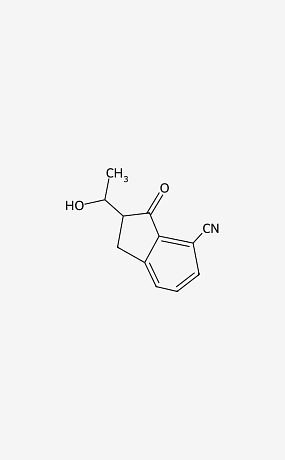 CC(O)C1Cc2cccc(C#N)c2C1=O